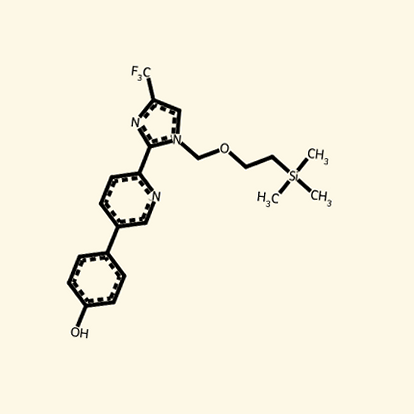 C[Si](C)(C)CCOCn1cc(C(F)(F)F)nc1-c1ccc(-c2ccc(O)cc2)cn1